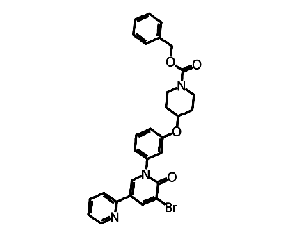 O=C(OCc1ccccc1)N1CCC(Oc2cccc(-n3cc(-c4ccccn4)cc(Br)c3=O)c2)CC1